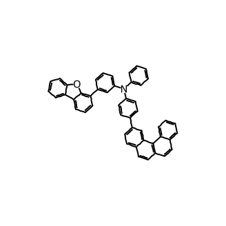 c1ccc(N(c2ccc(-c3ccc4ccc5ccc6ccccc6c5c4c3)cc2)c2cccc(-c3cccc4c3oc3ccccc34)c2)cc1